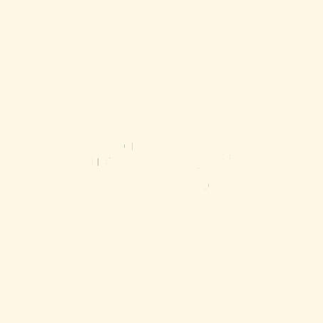 CC1(C)c2ccccc2-c2cc3c(cc21)-c1ccccc1C(=O)C3=O